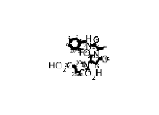 CC(C(=O)NCc1ccccc1F)N1C(=O)CC(N(C)C)C1=O.O=C(O)CCC(=O)O